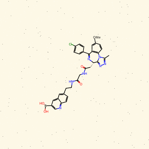 COc1ccc2c(c1)C(c1ccc(Cl)cc1)=N[C@@H](CC(=O)NCC(=O)NCCc1ccc3ncc(B(O)O)cc3c1)c1nnc(C)n1-2